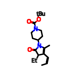 C/C=C\C1=C(C)N(C2CCN(C(=O)OC(C)(C)C)CC2)C(=O)C1CC